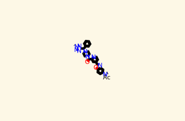 CC(=O)N(C)c1ccc2oc(-c3ccnc(C(=O)N4CCN(C(c5ccccc5)c5nnn(C)n5)CC4)c3)nc2c1